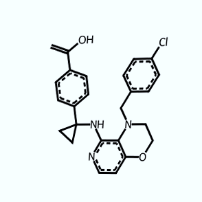 C=C(O)c1ccc(C2(Nc3nccc4c3N(Cc3ccc(Cl)cc3)CCO4)CC2)cc1